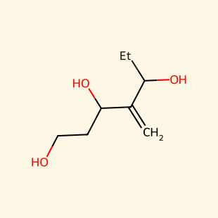 C=C(C(O)CC)C(O)CCO